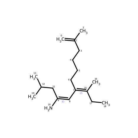 C=C(C)CCCCC(/C=C(/N)CC(C)C)=C(\C)CC